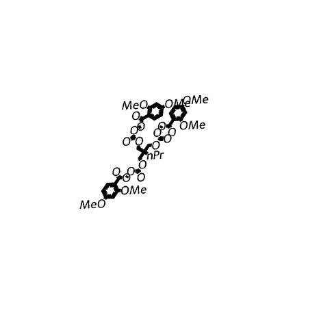 CCCC(COC(=O)OOC(=O)c1ccc(OC)cc1OC)(COC(=O)OOC(=O)c1ccc(OC)cc1OC)COC(=O)OOC(=O)c1ccc(OC)cc1OC